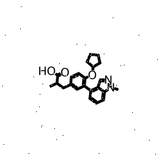 CC(Cc1ccc(OC2CCCC2)c(-c2cccc3c2cnn3C)c1)C(=O)O